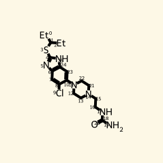 CCC(CC)Sc1nc2cc(Cl)c(N3CCN(CCNC(N)=O)CC3)cc2[nH]1